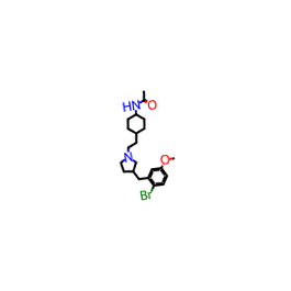 COc1ccc(Br)c(CC2CCN(CCC3CCC(NC(C)=O)CC3)C2)c1